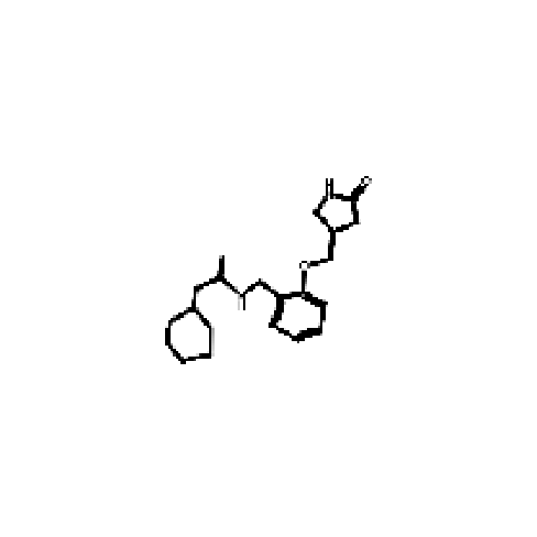 CC(CC1CCCCC1)NCc1ccccc1OCC1CNC(=O)C1